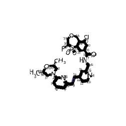 C[C@@H]1CN(c2cccc(/C=C/c3ccnc(CNC(=O)c4cc(Cl)c5c(c4)S(=O)(=O)[C@@H](F)COC5)c3)n2)C[C@H](C)O1